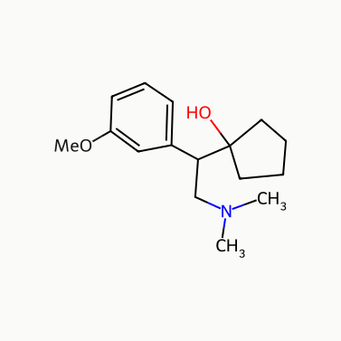 COc1cccc(C(CN(C)C)C2(O)CCCC2)c1